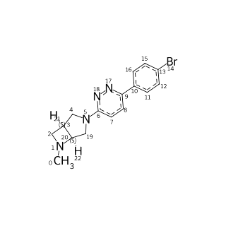 CN1C[C@H]2CN(c3ccc(-c4ccc(Br)cc4)nn3)C[C@H]21